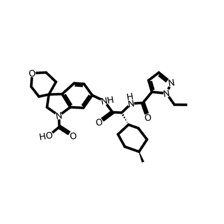 CCn1nccc1C(=O)NC(C(=O)Nc1ccc2c(c1)N(C(=O)O)CC21CCOCC1)[C@H]1CC[C@H](C)CC1